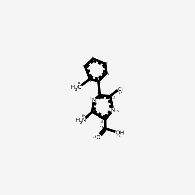 Cc1ccccc1-c1nc(N)c(C(=O)O)nc1Cl